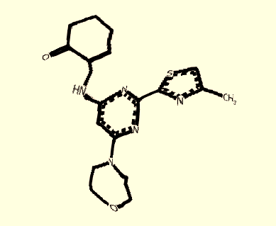 Cc1csc(-c2nc(NC3CCCCC3=O)cc(N3CCOCC3)n2)n1